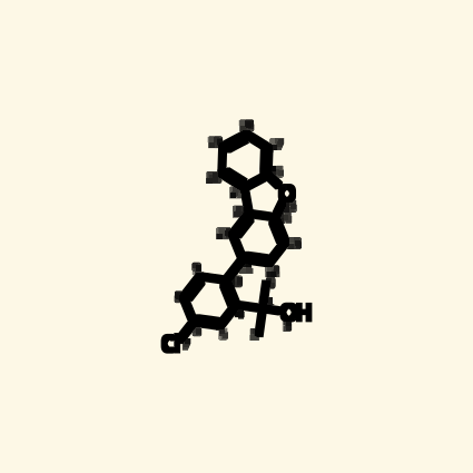 CC(C)(O)c1cc(Cl)ccc1-c1ccc2oc3ccccc3c2c1